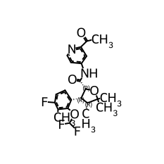 CC(=O)c1cc(NC(=O)[C@@H]2OC(C)(C)[C@H](C)[C@@H]2c2ccc(F)c(C)c2OC(F)F)ccn1